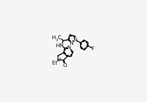 CCN1Cc2c(ccnc2NC(C)c2ccn(-c3ccc(F)cc3)n2)C1=O